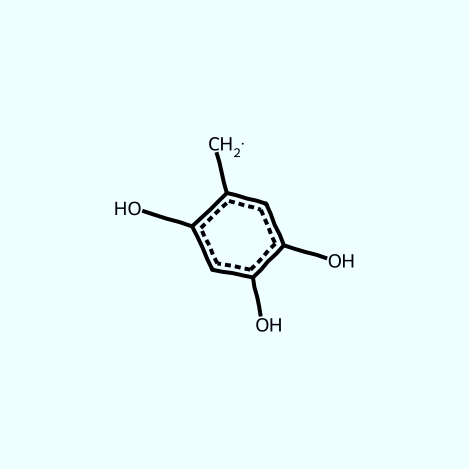 [CH2]c1cc(O)c(O)cc1O